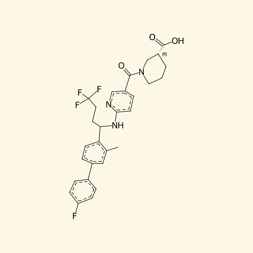 Cc1cc(-c2ccc(F)cc2)ccc1C(CCC(F)(F)F)Nc1ccc(C(=O)N2CCC[C@@H](C(=O)O)C2)cn1